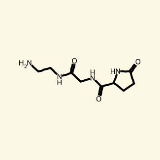 NCCNC(=O)CNC(=O)C1CCC(=O)N1